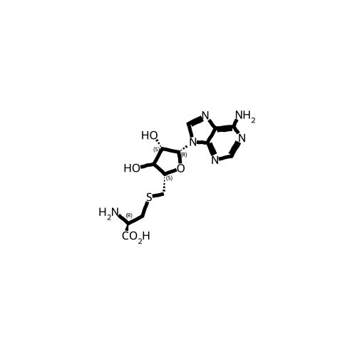 Nc1ncnc2c1ncn2[C@@H]1O[C@H](CSC[C@H](N)C(=O)O)C(O)[C@@H]1O